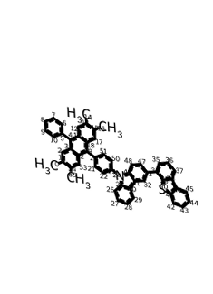 Cc1cc2c(-c3ccccc3)c3cc(C)c(C)cc3c(-c3ccc(-n4c5ccccc5c5cc(-c6cccc7c6sc6ccccc67)ccc54)cc3)c2cc1C